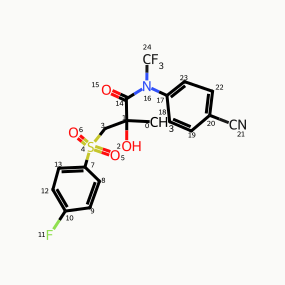 CC(O)(CS(=O)(=O)c1ccc(F)cc1)C(=O)N(c1ccc(C#N)cc1)C(F)(F)F